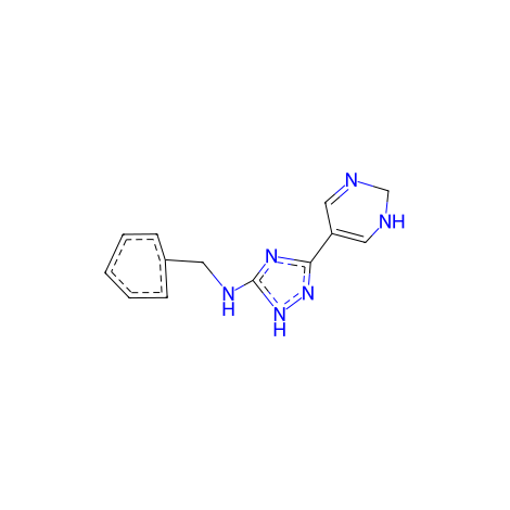 C1=NCNC=C1c1n[nH]c(NCc2ccccc2)n1